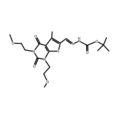 COCCn1c(=O)c2c(C)c(C=NNC(=O)OC(C)(C)C)sc2n(CCOC)c1=O